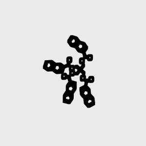 O=C(OCC(COC(=O)C1CC2CC1C1C3C=CC(C3)C21)(COC(=O)C1CC2CC1C1C3C=CC(C3)C21)COC(=O)C1CC2CC1C1C3C=CC(C3)C21)C1CC2CC1C1C3C=CC(C3)C21